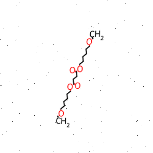 C=COCCCCCCOC(=O)CCC(=O)OCCCCCCOC=C